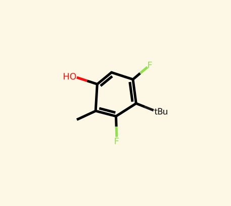 Cc1c(O)cc(F)c(C(C)(C)C)c1F